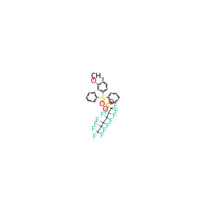 COc1cccc(S(OS(=O)(=O)C(F)(F)C(F)(F)C(F)(F)C(F)(F)C(F)(F)C(F)(F)F)(c2ccccc2)c2ccccc2)c1